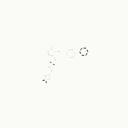 C[C@@H]1C[C@H](NS(=O)(=O)N(C)CC2CS(=O)(=O)C2)[C@H](CO[C@H]2CC[C@@H](c3cccc(F)c3)CC2)N1C(=O)O